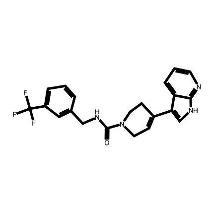 O=C(NCc1cccc(C(F)(F)F)c1)N1CC=C(c2c[nH]c3ncccc23)CC1